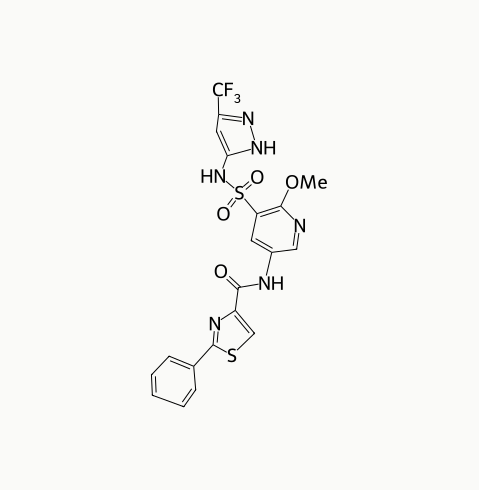 COc1ncc(NC(=O)c2csc(-c3ccccc3)n2)cc1S(=O)(=O)Nc1cc(C(F)(F)F)n[nH]1